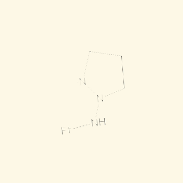 CCNN1CCC[N]1